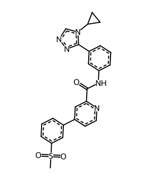 CS(=O)(=O)c1cccc(-c2ccnc(C(=O)Nc3cccc(-c4nncn4C4CC4)c3)c2)c1